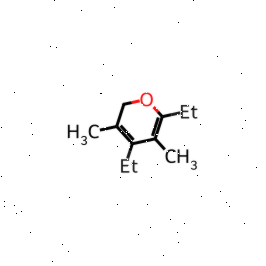 CCC1=C(C)C(CC)=C(C)CO1